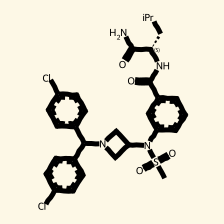 CC(C)C[C@H](NC(=O)c1cccc(N(C2CN(C(c3ccc(Cl)cc3)c3ccc(Cl)cc3)C2)S(C)(=O)=O)c1)C(N)=O